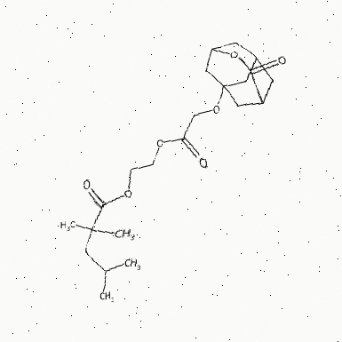 CC(C)CC(C)(C)C(=O)OCCOC(=O)COC12CC3CC(C1)OC(=O)C(C3)C2